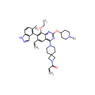 C=CC(=O)N1CC2(CCN(c3nc(OC4CCN(CC)CC4)nc4c(OCC(F)(F)F)c(-c5c(C)ccc6[nH]ncc56)c(C=C)cc34)CC2)C1